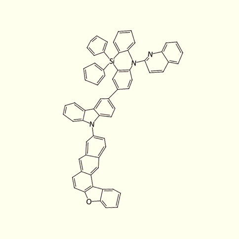 c1ccc([Si]2(c3ccccc3)c3ccccc3N(c3ccc4ccccc4n3)c3ccc(-c4ccc5c(c4)c4ccccc4n5-c4ccc5cc6c(ccc7oc8ccccc8c76)cc5c4)cc32)cc1